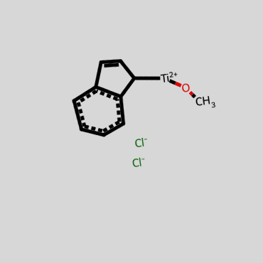 C[O][Ti+2][CH]1C=Cc2ccccc21.[Cl-].[Cl-]